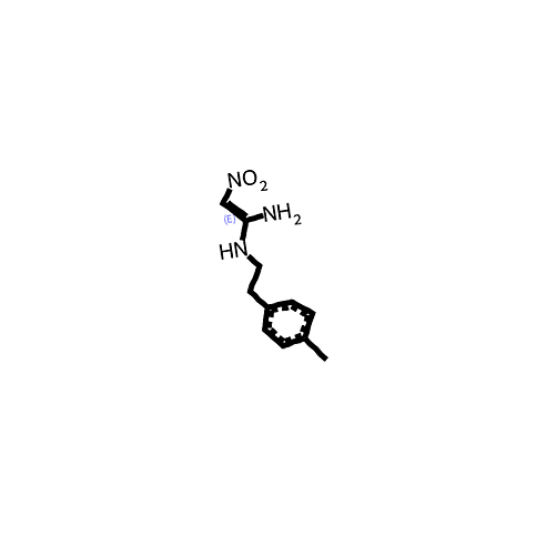 Cc1ccc(CCN/C(N)=C/[N+](=O)[O-])cc1